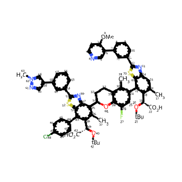 COc1ccncc1-c1cccc(-c2nc3cc(C)c([C@H](OC(C)(C)C)C(=O)O)c(-c4cc(F)c5c(c4C)CCC(c4c(C)c([C@H](OC(C)(C)C)C(=O)O)c(-c6ccc(Cl)cc6)c6sc(-c7cccc(-c8cnn(C)c8)c7)nc46)O5)c3s2)c1